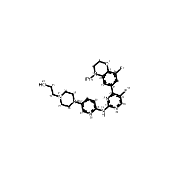 CC(C)N1CCOc2c(F)cc(-c3nc(Nc4ccc(N5CCN(CCO)CC5)cn4)ncc3F)cc21